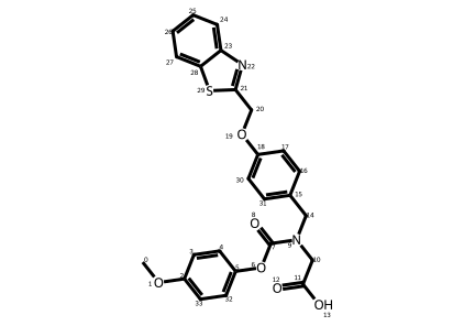 COc1ccc(OC(=O)N(CC(=O)O)Cc2ccc(OCc3nc4ccccc4s3)cc2)cc1